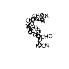 Cc1c(COc2cc(OCc3cncc(C#N)c3)c(C=O)cc2Cl)cccc1-n1cnc(COc2cc(OCc3cncc(C#N)c3)c(C=O)cc2Cl)c1C